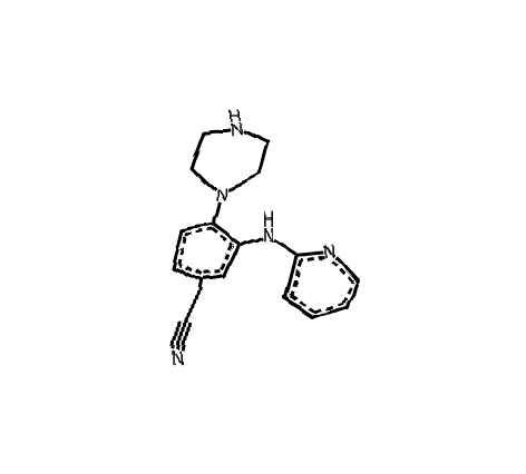 N#Cc1ccc(N2CCNCC2)c(Nc2ccccn2)c1